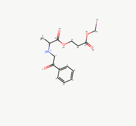 CC(C)C(NCC(=O)c1ccccc1)C(=O)OCCC(=O)OCI